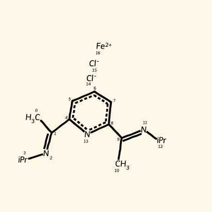 CC(=NC(C)C)c1cccc(C(C)=NC(C)C)n1.[Cl-].[Cl-].[Fe+2]